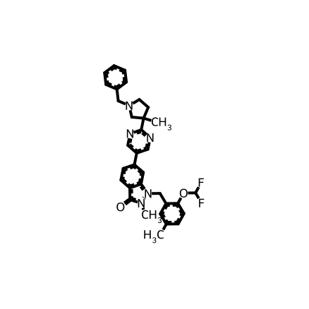 Cc1ccc(OC(F)F)c(Cn2c3cc(-c4cnc(C5(C)CCN(Cc6ccccc6)C5)nc4)ccc3c(=O)n2C)c1